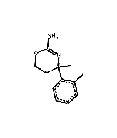 Cc1ccccc1C1(C)CCSC(N)=N1